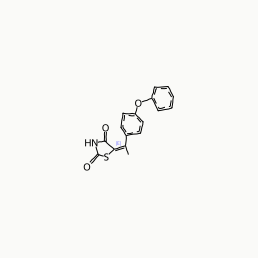 C/C(=C1\SC(=O)NC1=O)c1ccc(Oc2ccccc2)cc1